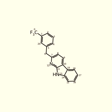 FC(F)(F)c1cccc(Cc2ccc3c(n2)[nH]c2ccccc23)c1